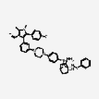 Cc1c(C=O)c(-c2cccc(N3CCN(c4ccc(NP5C6C=C(N)[C@@]5(NSc5ccccc5)CC6)cc4)CC3)c2)c(-c2ccc(Cl)cc2)n1C